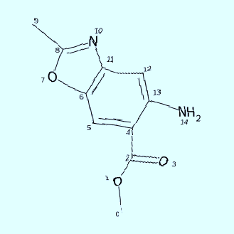 COC(=O)c1cc2oc(C)nc2cc1N